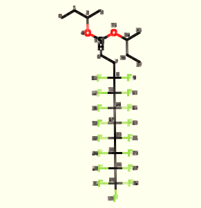 CCC(C)O[SiH](CCC(F)(F)C(F)(F)C(F)(F)C(F)(F)C(F)(F)C(F)(F)C(F)(F)C(F)(F)F)OC(C)CC